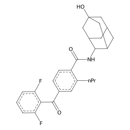 CCCc1cc(C(=O)c2c(F)cccc2F)ccc1C(=O)NC1C2CC3CC1CC(O)(C3)C2